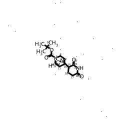 CC(C)(C)OC(=O)N1CC2CC[C@@H]1CN2C1CCC(=O)NC1=O